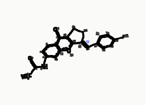 O=C(O)C(=O)Nc1ccc2c(=O)c3c(oc2c1)/C(=C/c1ccc(F)cc1)CC3